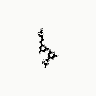 CCc1noc(/C=C/c2cc(C)cc(Oc3cc(-c4nc(C)no4)cc(Cl)n3)n2)n1